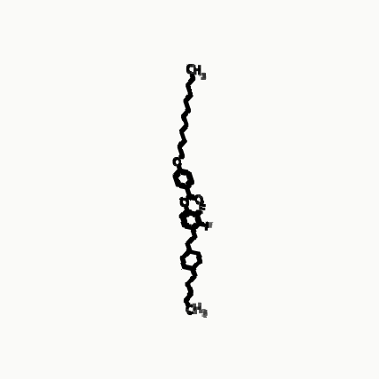 CCCCCCCCCCCCOc1ccc(C(=O)Oc2ccc(CCC3CCC(CCCCC)CC3)c(F)c2F)cc1